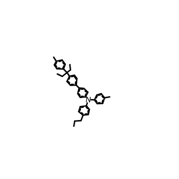 CCCc1ccc(N(c2ccc(C)cc2)c2ccc(-c3ccc(C(CC)(CC)c4ccc(C)cc4)cc3)cc2)cc1